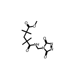 COC(=O)C(C)(C)CC(C)(C)C(=O)NCN1C(=O)N=NC1=O